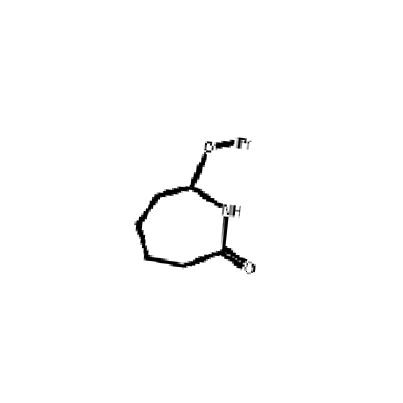 CC(C)OC1CCCCC(=O)N1